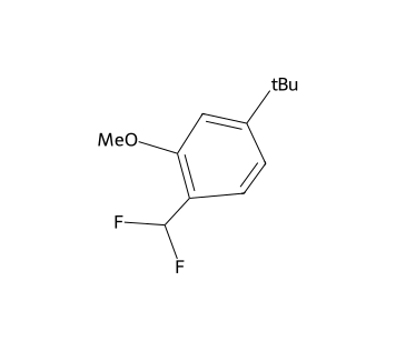 COc1cc(C(C)(C)C)ccc1C(F)F